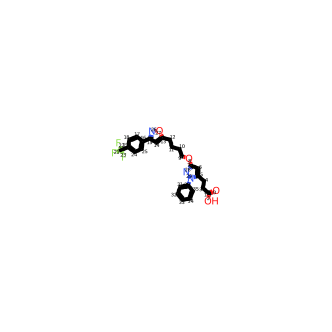 O=C(O)CCc1cc(OCCCCc2cc(-c3ccc(C(F)(F)F)cc3)no2)nn1-c1ccccc1